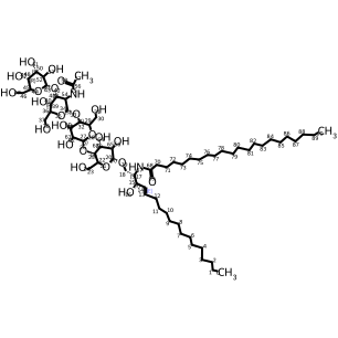 CCCCCCCCCCCCC/C=C/[C@@H](O)[C@H](CO[C@@H]1OC(CO)[C@@H](O[C@@H]2OC(CO)[C@H](O[C@@H]3OC(CO)[C@H](O)[C@H](O[C@@H]4OC(CO)[C@H](O)[C@H](O)C4O)C3NC(C)=O)[C@H](O)C2O)[C@H](O)C1O)NC(=O)CCCCCCCCCCCCCCCCCCCCC